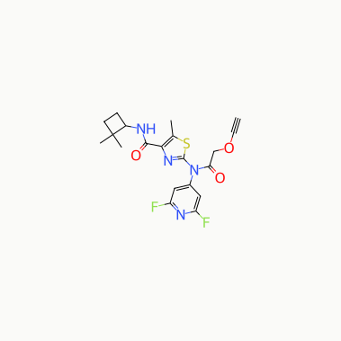 C#COCC(=O)N(c1cc(F)nc(F)c1)c1nc(C(=O)NC2CCC2(C)C)c(C)s1